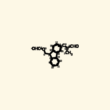 CN(C)C=O.O=[C]OCC1c2ccccc2-c2ccccc21